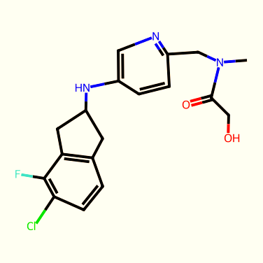 CN(Cc1ccc(NC2Cc3ccc(Cl)c(F)c3C2)cn1)C(=O)CO